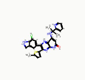 Cc1ccc(-c2nc3[nH]c(=O)cc(NC(C)(C)c4ccccn4)c3nc2-c2cc(Cl)c3[nH]ncc3c2)s1